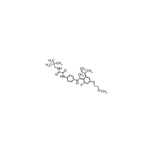 C=C/C(C)=c1/cc(OCCOC)cc(F)/c1=C(/C)Nc1ccc(NC(=O)C(=O)NCC(C)(C)C)cc1